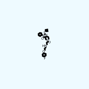 O=C(CCNCCCOc1ccc(F)cc1)N1CCc2nc(SC3CCC3)n(-c3ccccc3)c(=O)c2C1